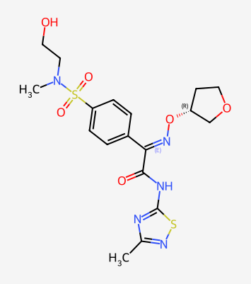 Cc1nsc(NC(=O)/C(=N/O[C@@H]2CCOC2)c2ccc(S(=O)(=O)N(C)CCO)cc2)n1